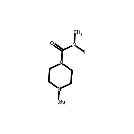 CN(I)C(=O)N1CCN(C(C)(C)C)CC1